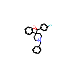 O=C(c1ccc(F)cc1)C1(c2ccccc2)CCN(Cc2ccccc2)CC1